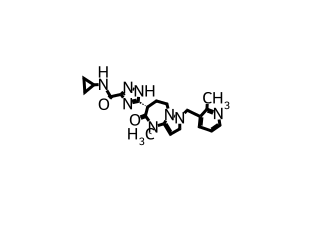 Cc1ncccc1CN1CC=C2N(C)C(=O)[C@H](c3nc(C(=O)NC4CC4)n[nH]3)CCN21